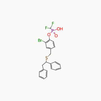 O=P(O)(Oc1ccc(CSC(Cc2ccccc2)c2ccccc2)cc1Br)C(F)F